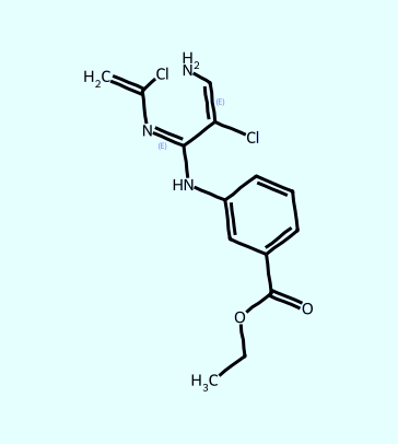 C=C(Cl)/N=C(Nc1cccc(C(=O)OCC)c1)\C(Cl)=C/N